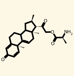 C[C@H](N)C(=O)OCC(=O)[C@H]1[C@H](C)CC2C3CCC4=CC(=O)C=C[C@]4(C)C3=CC[C@@]21C